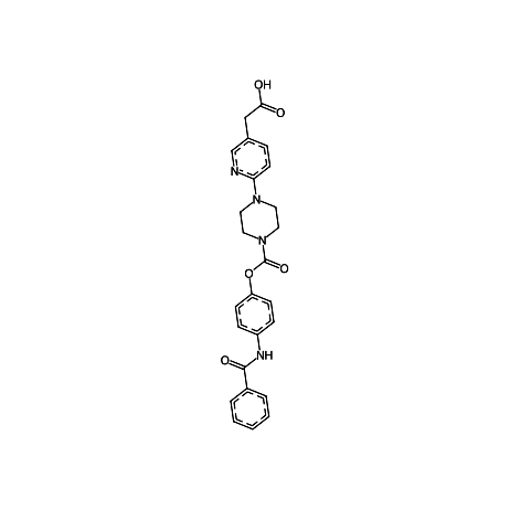 O=C(O)Cc1ccc(N2CCN(C(=O)Oc3ccc(NC(=O)c4ccccc4)cc3)CC2)nc1